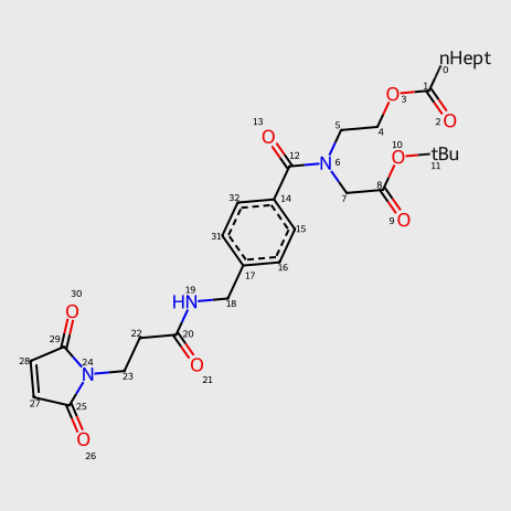 CCCCCCCC(=O)OCCN(CC(=O)OC(C)(C)C)C(=O)c1ccc(CNC(=O)CCN2C(=O)C=CC2=O)cc1